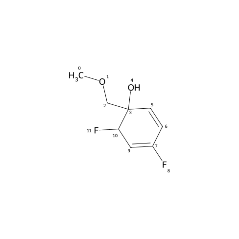 COCC1(O)C=CC(F)=CC1F